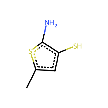 Cc1cc(S)c(N)s1